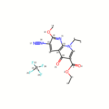 CCOC(=O)c1cn(CC)c2nc(OC)c([N+]#N)cc2c1=O.F[B-](F)(F)F